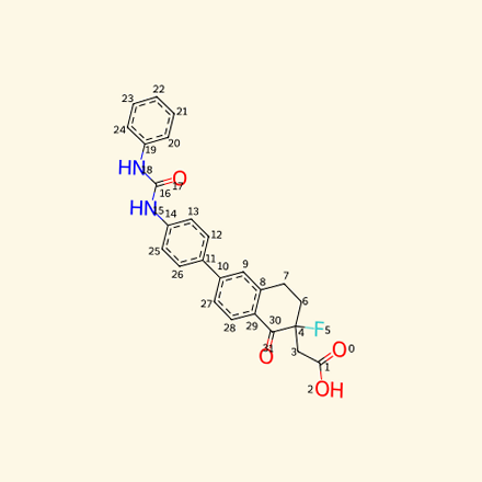 O=C(O)CC1(F)CCc2cc(-c3ccc(NC(=O)Nc4ccccc4)cc3)ccc2C1=O